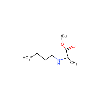 CC(NCCCS(=O)(=O)O)C(=O)OC(C)(C)C